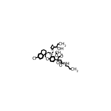 C=CCCNC(=O)C[C@@](O)(C(=O)OC)c1ccc2c(c1)N(C[C@@H]1CC[C@H]1[C@@H](O)C=C)C[C@@]1(CCCc3cc(Cl)ccc31)CO2